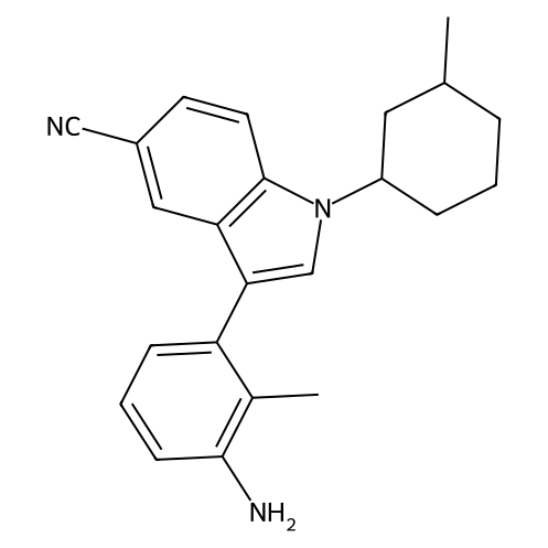 Cc1c(N)cccc1-c1cn(C2CCCC(C)C2)c2ccc(C#N)cc12